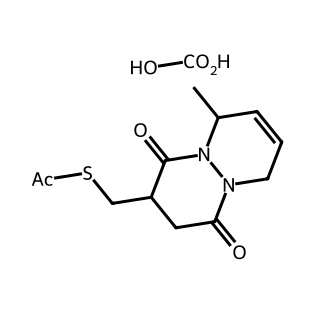 CC(=O)SCC1CC(=O)N2CC=CC(C)N2C1=O.O=C(O)O